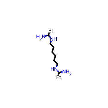 CCC(N)NCCCCCCNC(N)CC